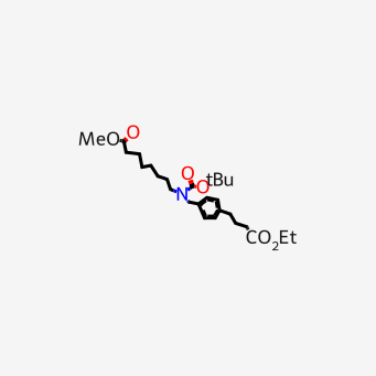 CCOC(=O)CCCc1ccc(CN(CCCCCCCC(=O)OC)C(=O)OC(C)(C)C)cc1